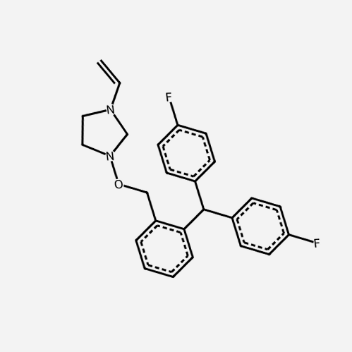 C=CN1CCN(OCc2ccccc2C(c2ccc(F)cc2)c2ccc(F)cc2)C1